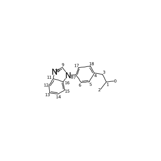 CC(C)Cc1ccc(-n2cnc3ccccc32)cc1